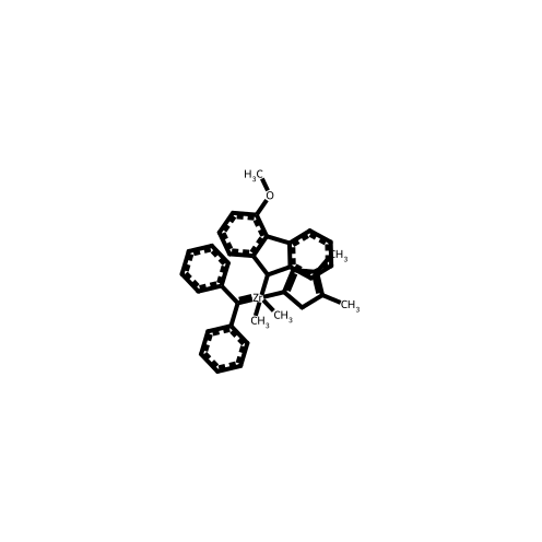 COc1cccc2c1-c1ccccc1[CH]2[Zr]([CH3])([CH3])([C]1=CC(C)=C(C)C1)=[C](c1ccccc1)c1ccccc1